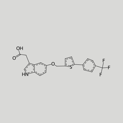 O=C(O)Cc1c[nH]c2ccc(OCc3ccc(-c4ccc(C(F)(F)F)cc4)s3)cc12